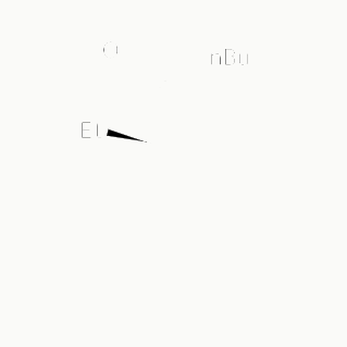 CCCCC(=O)[C@]1(CC)CCC(C)=C(C)C1